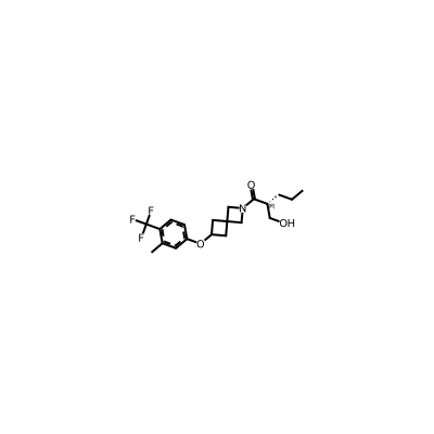 CCC[C@H](CO)C(=O)N1CC2(CC(Oc3ccc(C(F)(F)F)c(C)c3)C2)C1